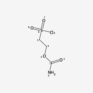 NC(=O)OCCS(=O)(=O)Cl